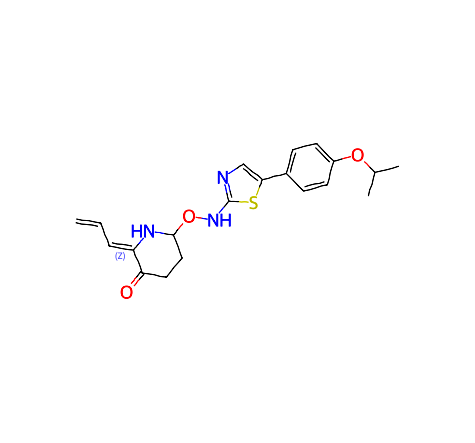 C=C/C=C1\NC(ONc2ncc(-c3ccc(OC(C)C)cc3)s2)CCC1=O